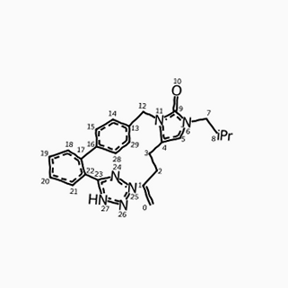 C=CCCc1cn(CC(C)C)c(=O)n1Cc1ccc(-c2ccccc2-c2nnn[nH]2)cc1